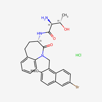 COc1ccc2cc(Br)ccc2c1CN1C(=O)[C@@H](NC(=O)[C@@H](N)[C@H](C)O)CCc2ccccc21.Cl